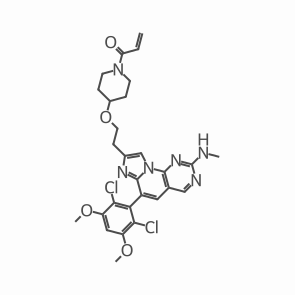 C=CC(=O)N1CCC(OCCc2cn3c(n2)c(-c2c(Cl)c(OC)cc(OC)c2Cl)cc2cnc(NC)nc23)CC1